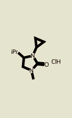 CC(C)C1CN(C)C(=O)N1C1CC1.Cl